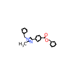 Cc1nc(-c2ccc(C(=O)OCc3ccccc3)cc2)cn1Cc1ccccc1